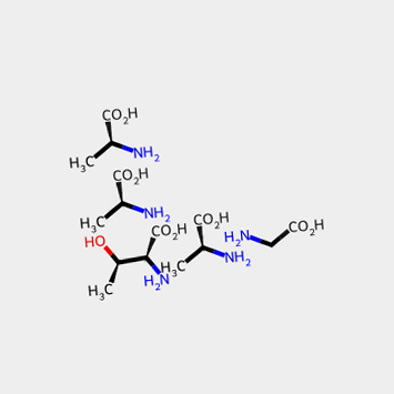 C[C@@H](O)[C@H](N)C(=O)O.C[C@H](N)C(=O)O.C[C@H](N)C(=O)O.C[C@H](N)C(=O)O.NCC(=O)O